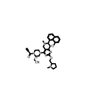 C#CC(=O)N1CCN(c2nc(OCC3CCCN3C)nc3c2CN(C)C(c2cccc4cccc(Cl)c24)C3)C[C@@H]1CC#N